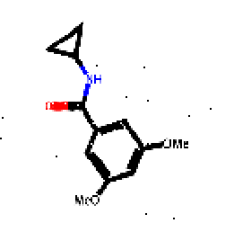 COc1cc(OC)cc(C(=O)NC2CC2)c1